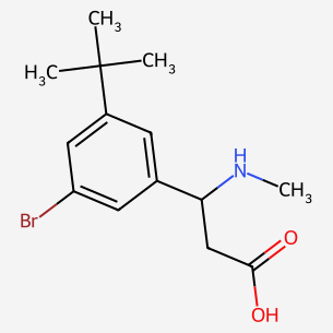 CNC(CC(=O)O)c1cc(Br)cc(C(C)(C)C)c1